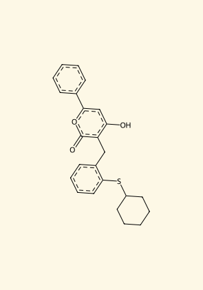 O=c1oc(-c2ccccc2)cc(O)c1Cc1ccccc1SC1CCCCC1